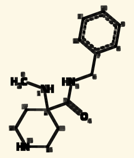 CNC1(C(=O)NCc2ccccc2)CCNCC1